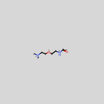 CN(C)CCOCCNC=O